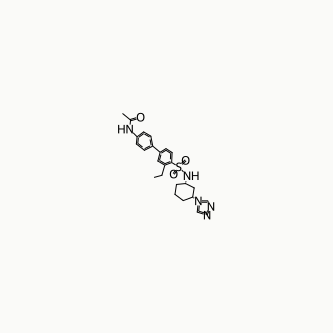 CCc1cc(-c2ccc(NC(C)=O)cc2)ccc1S(=O)(=O)N[C@H]1CCC[C@@H](n2cnnc2)C1